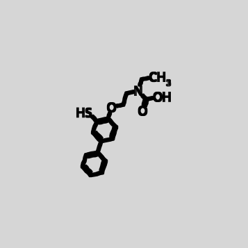 CCN(CCOc1ccc(-c2ccccc2)cc1S)C(=O)O